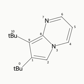 CC(C)(C)c1cn2cccnc2c1C(C)(C)C